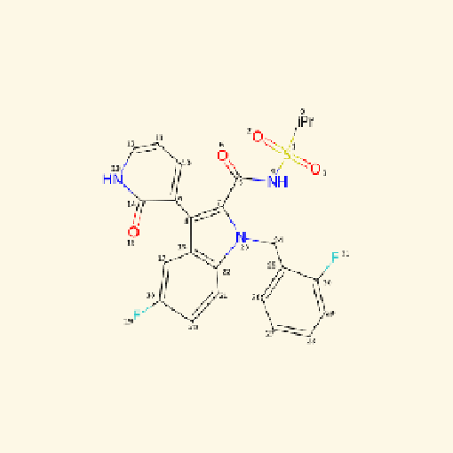 CC(C)S(=O)(=O)NC(=O)c1c(-c2ccc[nH]c2=O)c2cc(F)ccc2n1Cc1ccccc1F